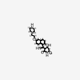 N=C(c1c(O)ccc2cc(OCCN3CCNCC3)ccc12)C1CCC(=O)NC1=O